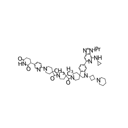 CC(C)n1cnc2cc(-c3ccc4c(c3)N([C@H]3C[C@@H](N5CCCCC5)C3)CC43CCN(C(=O)C4(C)CCN(C(=O)C5(C)CCN(c6ccc(C7CCC(=O)NC7=O)cn6)CC5)CC4)CC3)nc(NC3CC3)c21